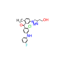 Cc1ccc(N2CC(CCO)N=N2)cc1C(=O)c1ccc(Nc2cccc(F)c2)cc1Cl